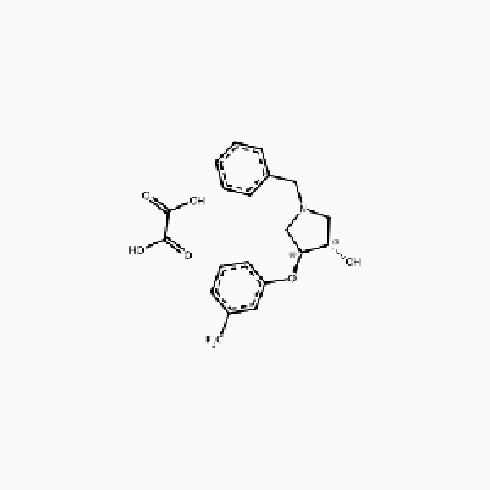 O=C(O)C(=O)O.O[C@H]1CN(Cc2ccccc2)C[C@@H]1Oc1cccc(C(F)(F)F)c1